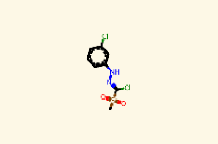 CS(=O)(=O)/C(Cl)=N/Nc1cccc(Cl)c1